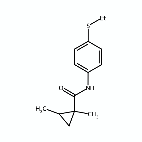 CCSc1ccc(NC(=O)C2(C)CC2C)cc1